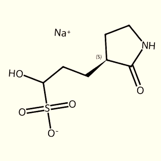 O=C1NCC[C@@H]1CCC(O)S(=O)(=O)[O-].[Na+]